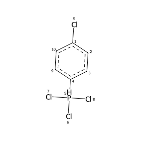 Clc1ccc([PH](Cl)(Cl)Cl)cc1